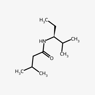 CC[C@H](NC(=O)CC(C)C)C(C)C